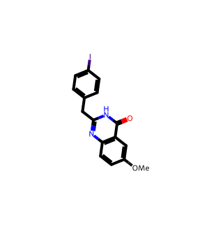 COc1ccc2nc(Cc3ccc(I)cc3)[nH]c(=O)c2c1